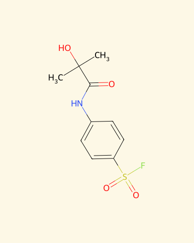 CC(C)(O)C(=O)Nc1ccc(S(=O)(=O)F)cc1